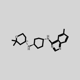 Cc1ccc2ncnc(N[C@H]3CC[C@H](N[C@H]4CCOC(C)(C)C4)CC3)c2c1